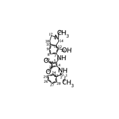 CC[C@@H](Nc1c(Nc2ccc3c(c2O)CN(C)CC3)c(=O)c1=O)c1ccccc1